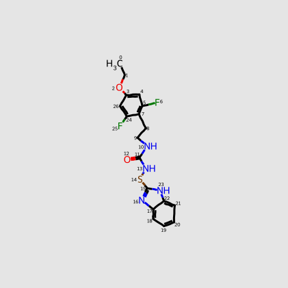 CCOc1cc(F)c(CCNC(=O)NSc2nc3ccccc3[nH]2)c(F)c1